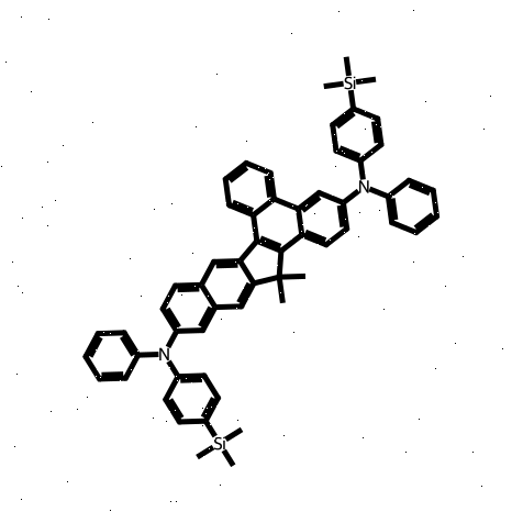 CC1(C)c2cc3cc(N(c4ccccc4)c4ccc([Si](C)(C)C)cc4)ccc3cc2-c2c1c1ccc(N(c3ccccc3)c3ccc([Si](C)(C)C)cc3)cc1c1ccccc21